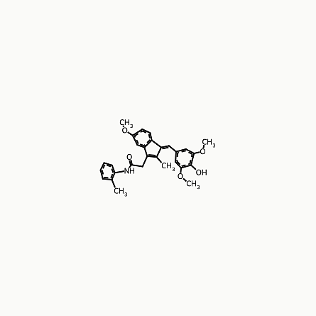 COc1ccc2c(c1)C(CC(=O)Nc1ccccc1C)=C(C)C2=Cc1cc(OC)c(O)c(OC)c1